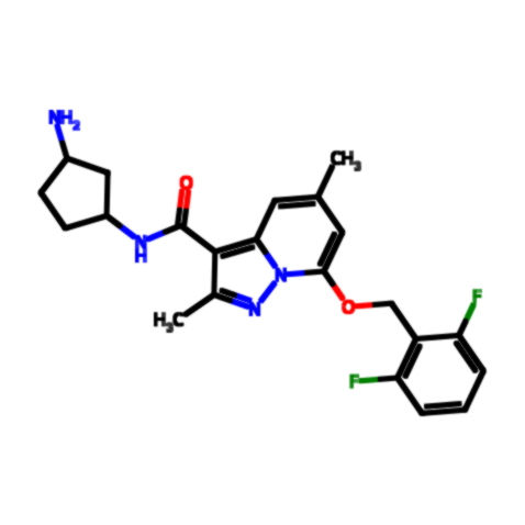 Cc1cc(OCc2c(F)cccc2F)n2nc(C)c(C(=O)NC3CCC(N)C3)c2c1